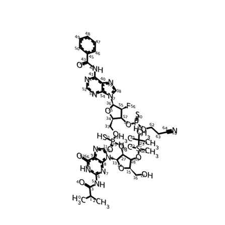 CC(C)C(=O)Nc1nc2c(ncn2[C@@H]2O[C@H](CO)C(O[Si](C)(C)C(C)(C)C)[C@@H]2OP(=O)(S)OC[C@H]2O[C@@H](n3cnc4c(NC(=O)c5ccccc5)ncnc43)[C@@H](F)C2O[PH](=S)OCCC#N)c(=O)[nH]1